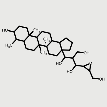 CC1C(O)CCC2(C)C1CCC1(C)C2CCC2C3CCCC3(C(O)C(CO)C(O)C3OC3CO)CC[C@]21C